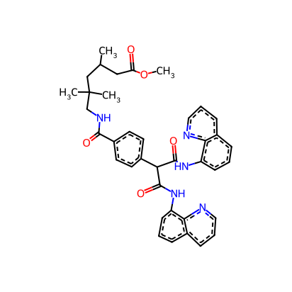 COC(=O)CC(C)CC(C)(C)CNC(=O)c1ccc(C(C(=O)Nc2cccc3cccnc23)C(=O)Nc2cccc3cccnc23)cc1